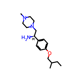 CCC(C)COc1ccc([C@@H](N)CN2CCN(C)CC2)cc1